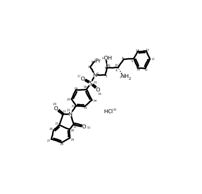 CC(C)CN(C[C@@H](O)[C@@H](N)Cc1ccccc1)S(=O)(=O)c1ccc(N2C(=O)c3ccccc3C2=O)cc1.Cl